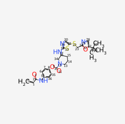 C=CC(=O)Nc1ccc(OC(=O)N2CCC[C@@H](Nc3ncc(SCc4ncc(C(C)(C)C)o4)s3)C2)cc1